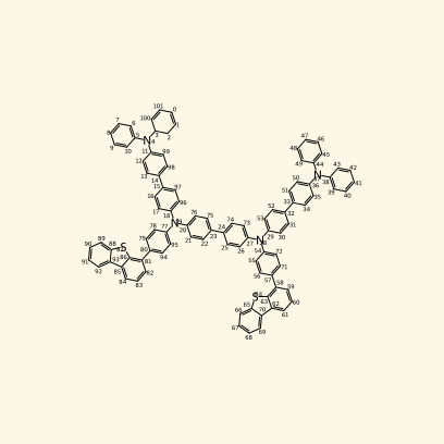 C1=CCC(N(c2ccccc2)c2ccc(-c3ccc(N(c4ccc(-c5ccc(N(c6ccc(-c7ccc(N(c8ccccc8)c8ccccc8)cc7)cc6)c6ccc(-c7cccc8c7sc7ccccc78)cc6)cc5)cc4)c4ccc(-c5cccc6c5sc5ccccc56)cc4)cc3)cc2)C=C1